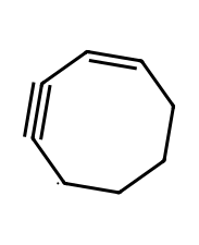 C1#CC=CCCC[CH]1